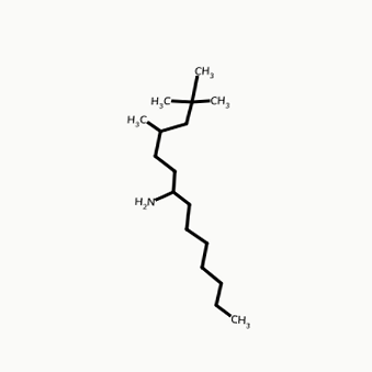 CCCCCCCC(N)CCC(C)CC(C)(C)C